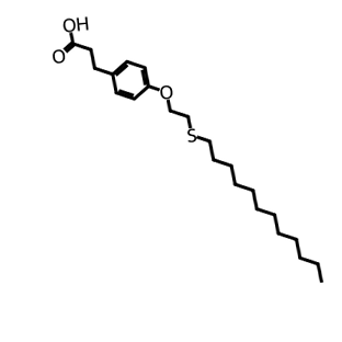 CCCCCCCCCCCCSCCOc1ccc(CCC(=O)O)cc1